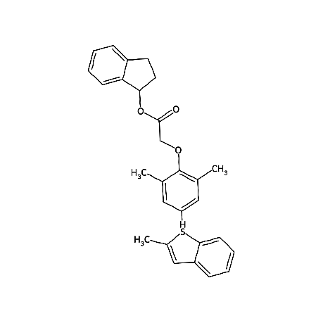 CC1=Cc2ccccc2[SH]1c1cc(C)c(OCC(=O)OC2CCc3ccccc32)c(C)c1